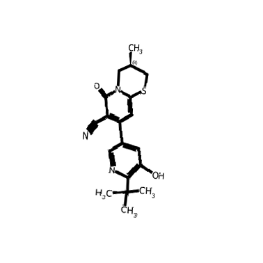 C[C@H]1CSc2cc(-c3cnc(C(C)(C)C)c(O)c3)c(C#N)c(=O)n2C1